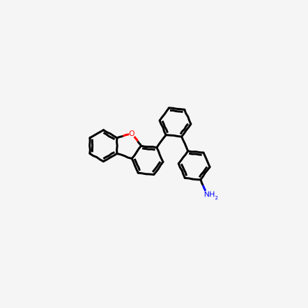 Nc1ccc(-c2ccccc2-c2cccc3c2oc2ccccc23)cc1